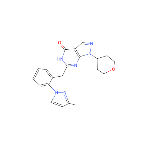 Cc1ccn(-c2ccccc2Cc2nc3c(cnn3C3CCOCC3)c(=O)[nH]2)n1